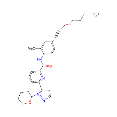 COc1cc(C#CCOCCCC(=O)O)ccc1NC(=O)c1cccc(-c2ccnn2C2CCCCO2)n1